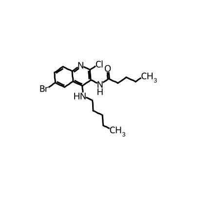 CCCCCNc1c(NC(=O)CCCC)c(Cl)nc2ccc(Br)cc12